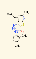 COCc1cc(C)nc2sc(C(=O)Nc3ccc(C)cc3C)c(N=N)c12